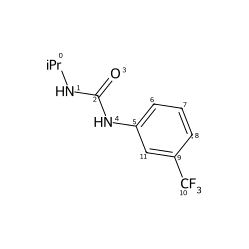 CC(C)NC(=O)Nc1cc[c]c(C(F)(F)F)c1